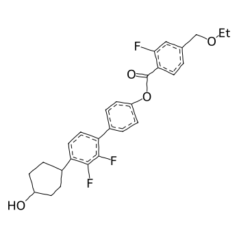 CCOCc1ccc(C(=O)Oc2ccc(-c3ccc(C4CCC(O)CC4)c(F)c3F)cc2)c(F)c1